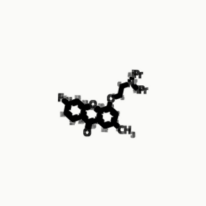 Cc1cc(OCCN(C(C)C)C(C)C)c2oc3cc(F)ccc3c(=O)c2c1